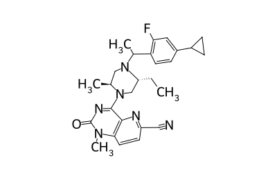 CC[C@@H]1CN(c2nc(=O)n(C)c3ccc(C#N)nc23)[C@@H](C)CN1C(C)c1ccc(C2CC2)cc1F